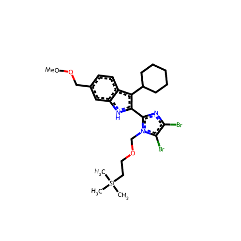 COOCc1ccc2c(C3CCCCC3)c(-c3nc(Br)c(Br)n3COCC[Si](C)(C)C)[nH]c2c1